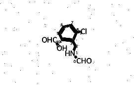 O=CNCc1ccccc1Cl.O=CO